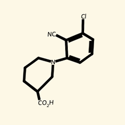 N#Cc1c(Cl)cccc1N1CCCC(C(=O)O)C1